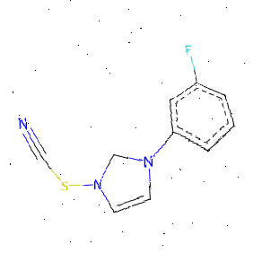 N#CSN1C=CN(c2cccc(F)c2)C1